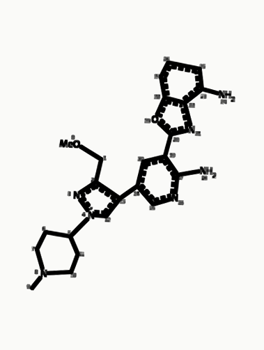 COCc1nn(C2CCN(C)CC2)cc1-c1cnc(N)c(-c2nc3c(N)cccc3o2)c1